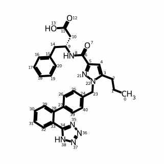 CCCc1cc(C(=O)N[C@@H](CC(=O)O)Cc2ccccc2)nn1Cc1ccc(-c2ccccc2-c2nnn[nH]2)cc1